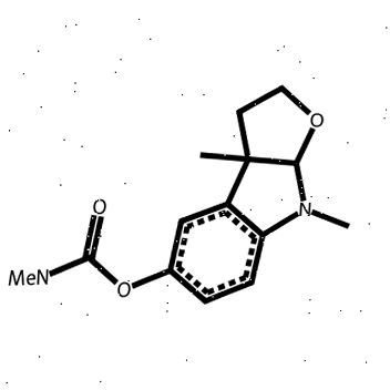 CNC(=O)Oc1ccc2c(c1)C1(C)CCOC1N2C